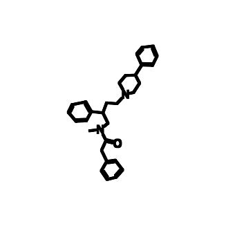 CN(CC(CCN1CCC(c2ccccc2)CC1)c1ccccc1)C(=O)Cc1ccccc1